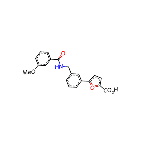 COc1cccc(C(=O)NCc2cccc(-c3ccc(C(=O)O)o3)c2)c1